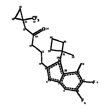 Cc1c(F)c(F)cc2nc(CCCC(=O)CC3(C(F)(F)F)CC3)n(C3(C)CCC3)c12